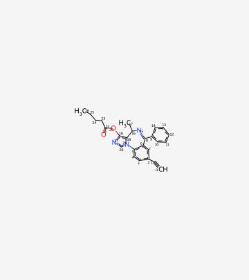 C#Cc1ccc2c(c1)C(c1ccccc1)=NC(C)c1c(OC(=O)CCCC)ncn1-2